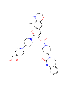 Cc1cc(C[C@@H](OC(=O)N2CCC(N3CCc4ccccc4NC3=O)CC2)C(=O)N2CCC(N3CCC(O)(CO)CC3)CC2)cc2c1N(C)CCO2